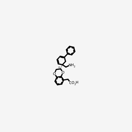 NCC1([C@H]2COc3cccc(CC(=O)O)c3O2)C=CC=C(c2ccccc2)C1